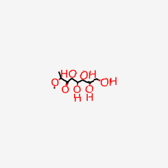 COC(C)C(=O)C(O)C(O)C(O)C(O)CO